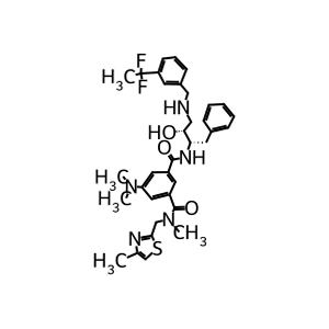 Cc1csc(CN(C)C(=O)c2cc(C(=O)N[C@@H](Cc3ccccc3)[C@H](O)CNCc3cccc(C(C)(F)F)c3)cc(N(C)C)c2)n1